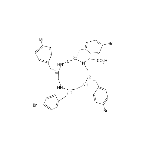 O=C(O)CN1C[C@H](Cc2ccc(Br)cc2)NC[C@H](Cc2ccc(Br)cc2)NC[C@H](Cc2ccc(Br)cc2)NC[C@@H]1Cc1ccc(Br)cc1